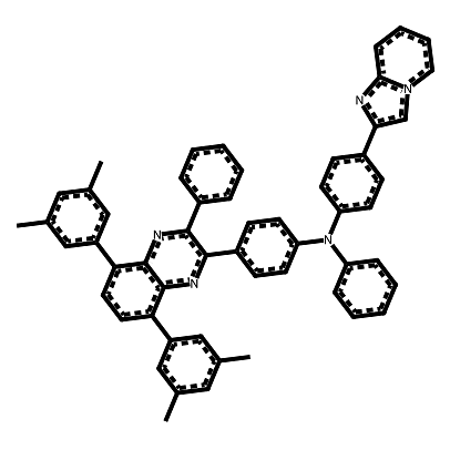 Cc1cc(C)cc(-c2ccc(-c3cc(C)cc(C)c3)c3nc(-c4ccc(N(c5ccccc5)c5ccc(-c6cn7ccccc7n6)cc5)cc4)c(-c4ccccc4)nc23)c1